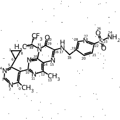 Cc1ncnc(C2CC2)c1-c1nc(C)c2nc(NCc3ccc(S(N)(=O)=O)nc3)c(=O)n([C@@H](C)C(F)(F)F)c2n1